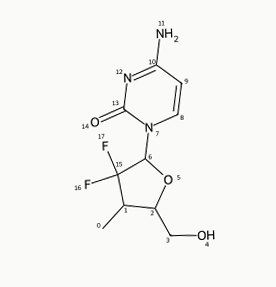 CC1C(CO)OC(n2ccc(N)nc2=O)C1(F)F